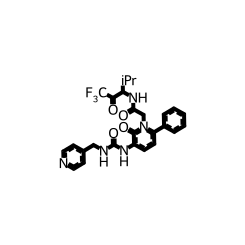 CC(C)C(NC(=O)Cn1c(-c2ccccc2)ccc(NC(=O)NCc2ccncc2)c1=O)C(=O)C(F)(F)F